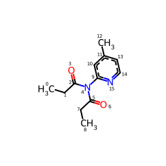 CCC(=O)N(C(=O)CC)c1cc(C)ccn1